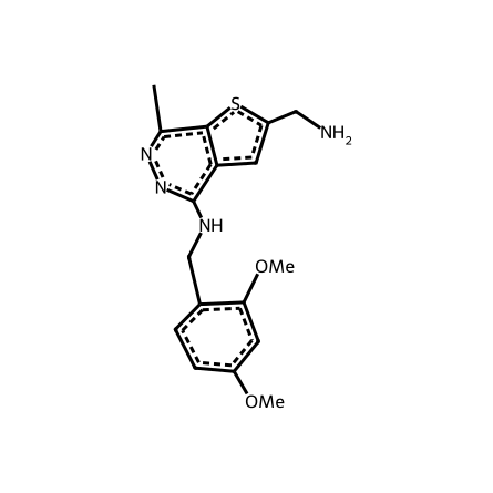 COc1ccc(CNc2nnc(C)c3sc(CN)cc23)c(OC)c1